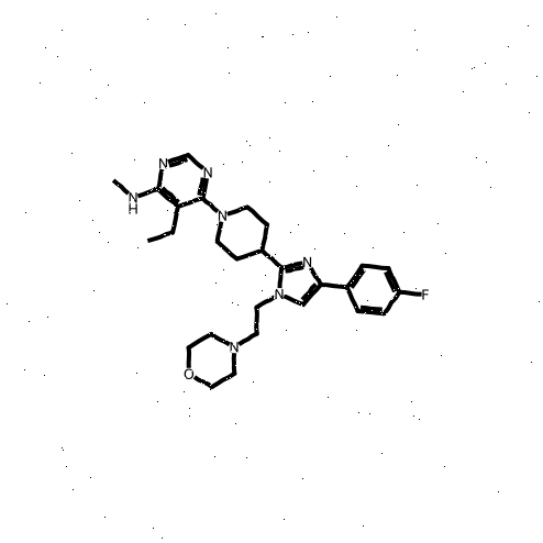 CCc1c(NC)ncnc1N1CCC(c2nc(-c3ccc(F)cc3)cn2CCN2CCOCC2)CC1